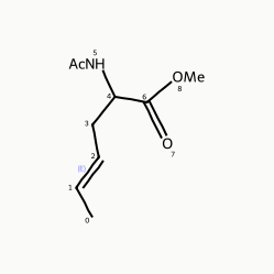 C/C=C/CC(NC(C)=O)C(=O)OC